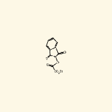 CCOC(=O)C(=O)ON1C(=O)c2ccccc2C1=O